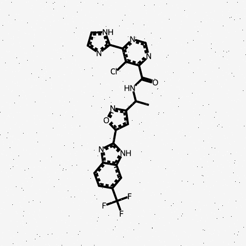 CC(NC(=O)c1ncnc(-c2ncc[nH]2)c1Cl)c1cc(-c2nc3ccc(C(F)(F)F)cc3[nH]2)on1